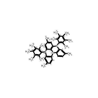 Cc1ccc2c(c1)B(c1c(C)c(C)c(C)c(C)c1C)c1cc(C)cc3c1N2c1ccc(C)cc1B3c1c(C)c(C)c(C)c(C)c1C